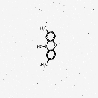 Cc1ccc2c(c1)B(O)c1cc(C)ccc1O2